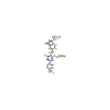 COCCc1nc(-c2ccc(C(F)(F)F)cc2)nc(C)c1COc1ccc2c(CC(=O)O)c[nH]c2c1